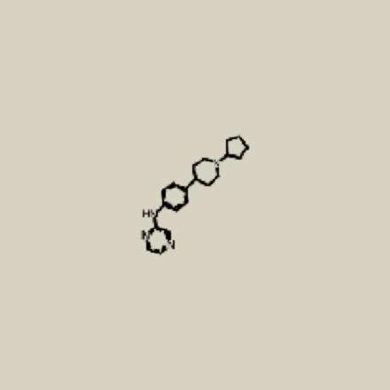 c1cnc(Nc2ccc(C3CCN(C4CCCC4)CC3)cc2)cn1